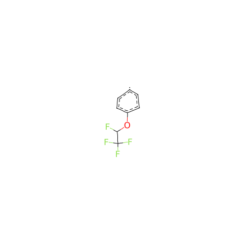 FC(Oc1cc[c]cc1)C(F)(F)F